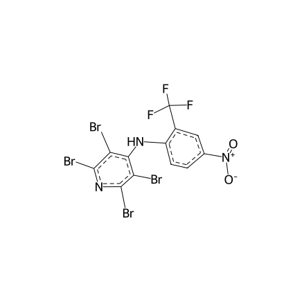 O=[N+]([O-])c1ccc(Nc2c(Br)c(Br)nc(Br)c2Br)c(C(F)(F)F)c1